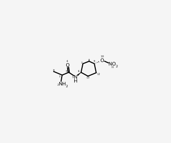 CC(N)C(=O)N[C@H]1CC[C@H](O[N+](=O)[O-])CC1